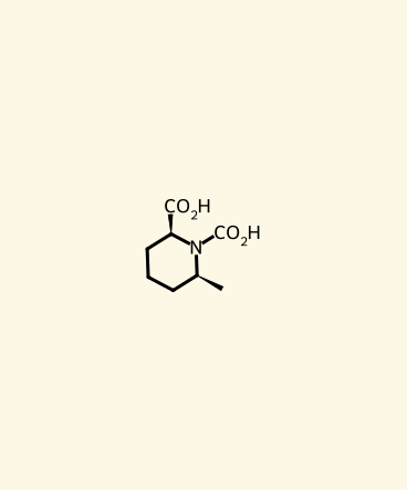 C[C@H]1CCC[C@@H](C(=O)O)N1C(=O)O